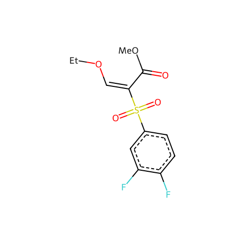 CCOC=C(C(=O)OC)S(=O)(=O)c1ccc(F)c(F)c1